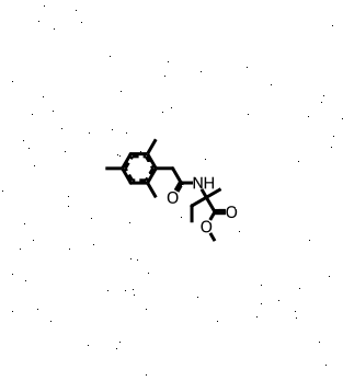 CCC(C)(NC(=O)Cc1c(C)cc(C)cc1C)C(=O)OC